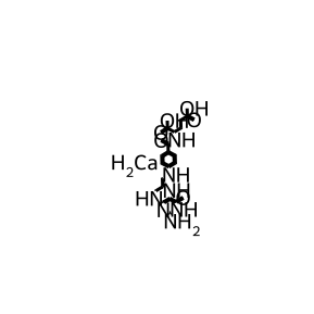 Nc1nc2c(c(=O)[nH]1)NC(CNc1ccc(C(=O)NC(CCC(=O)O)C(=O)O)cc1)CN2.[CaH2]